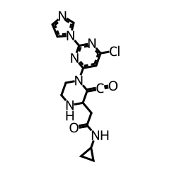 O=C=C1C(CC(=O)NC2CC2)NCCN1c1cc(Cl)nc(-n2ccnc2)n1